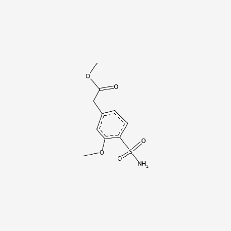 COC(=O)Cc1ccc(S(N)(=O)=O)c(OC)c1